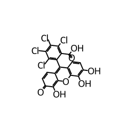 O=C(O)c1c(Cl)c(Cl)c(Cl)c(Cl)c1-c1c2ccc(=O)c(O)c-2oc2c(O)c(O)ccc12